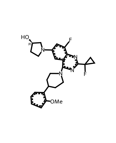 COc1ccccc1C1CCN(c2nc(C3(F)CC3)nc3c(F)cc(N4CC[C@@H](O)C4)cc23)CC1